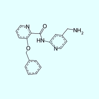 NCc1ccnc(NC(=O)c2ncccc2OCc2ccccc2)c1